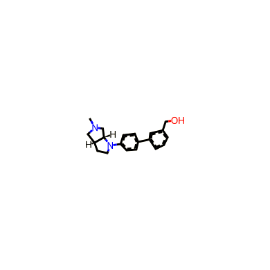 CN1C[C@H]2CCN(c3ccc(-c4cccc(CO)c4)cc3)[C@H]2C1